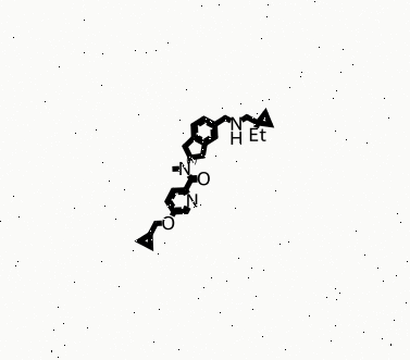 CCC1(CNCc2ccc3c(c2)C[C@H](N(C)C(=O)c2ccc(OCC4CC4)cn2)C3)CC1